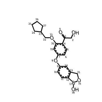 O=C(CO)c1ccc(Oc2ccc3c(c2)COB3O)cc1OCC1CCCC1